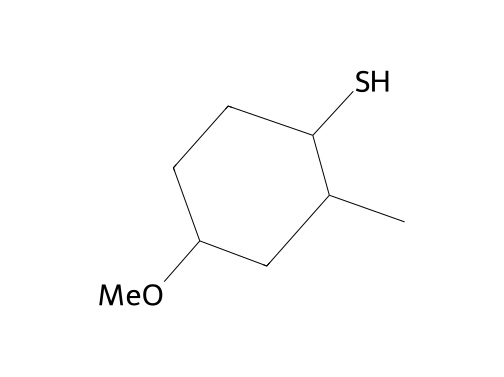 COC1CCC(S)C(C)C1